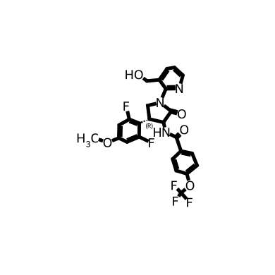 COc1cc(F)c([C@@H]2CN(c3ncccc3CO)C(=O)C2NC(=O)c2ccc(OC(F)(F)F)cc2)c(F)c1